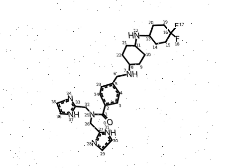 O=C(c1ccc(CNC2CCC(NC3CCC(F)(F)CC3)CC2)cc1)N(Cc1ncc[nH]1)Cc1ncc[nH]1